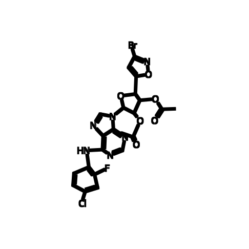 CC(=O)OC1C(c2cc(Br)no2)OC(n2cnc3c(Nc4ccc(Cl)cc4F)ncnc32)C1OC(C)=O